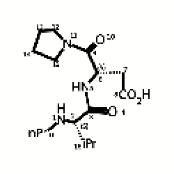 CCCN[C@H](C(=O)N[C@@H](CC(=O)O)C(=O)N1CCCC1)C(C)C